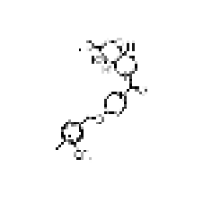 Cc1ccc(COC2CCN(C(=O)N3CC[C@@H]4OCC(=O)N[C@@H]4C3)CC2)cc1C(F)(F)F